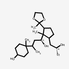 CC[C@@H](O)CC1CCC(C2(C)OCCO2)C1(C)[C@@H](O)CC(C)C1(C)CCC(O)CC1